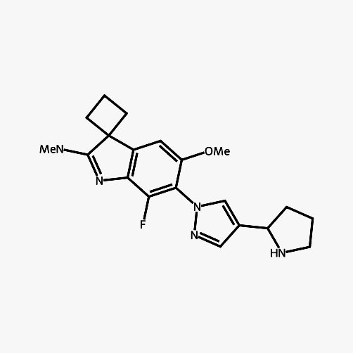 CNC1=Nc2c(cc(OC)c(-n3cc(C4CCCN4)cn3)c2F)C12CCC2